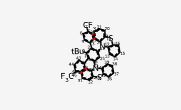 CC(C)(C)c1c(-c2ccc(C(F)(F)F)cc2)c(N2c3ccccc3Sc3ccccc32)cc(N2c3ccccc3Sc3ccccc32)c1-c1ccc(C(F)(F)F)cc1